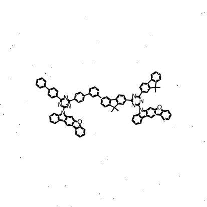 CC1(C)c2ccccc2-c2ccc(-c3nc(-c4ccc5c(c4)C(C)(C)c4ccc(-c6cccc(-c7ccc(-c8nc(-c9ccc(-c%10ccccc%10)cc9)nc(-n9c%10ccccc%10c%10cc%11c(cc%109)oc9ccccc9%11)n8)cc7)c6)cc4-5)nc(-n4c5ccccc5c5cc6c(cc54)oc4ccccc46)n3)cc21